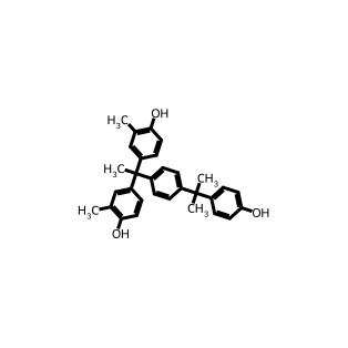 Cc1cc(C(C)(c2ccc(C(C)(C)c3ccc(O)cc3)cc2)c2ccc(O)c(C)c2)ccc1O